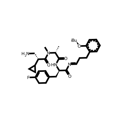 CC[C@H](C)Oc1ccccc1CC/C=N/C(=O)[C@@H](CC1=CC=C(F)CC1)NC(=O)[C@@H](C)N(C)C(=O)[C@@H](CN)C1CC1